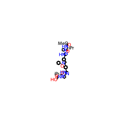 COC(=O)N[C@H](C(=O)N1CCC[C@H]1c1ncc(-c2ccc3c(c2)cc2n3[C@H](c3ccccc3)Oc3cc(-c4cnc(C5CCCN5C(=O)[C@@H](NC(=O)CO)C(C)C)[nH]4)ccc3-2)[nH]1)C(C)C